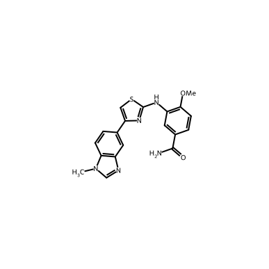 COc1ccc(C(N)=O)cc1Nc1nc(-c2ccc3c(c2)ncn3C)cs1